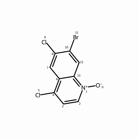 [O-][n+]1ccc(Cl)c2cc(Cl)c(Br)cc21